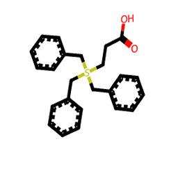 O=C(O)CCS(Cc1ccccc1)(Cc1ccccc1)Cc1ccccc1